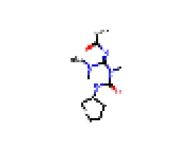 CCCCN(C)C(=NC(=O)OC)N(C)C(=O)NC1CCCCC1